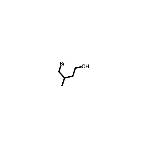 CC(CBr)CCO